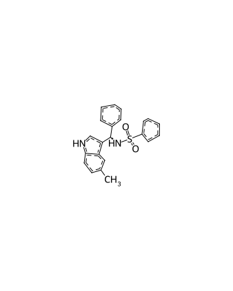 Cc1ccc2[nH]cc([C@H](NS(=O)(=O)c3ccccc3)c3ccccc3)c2c1